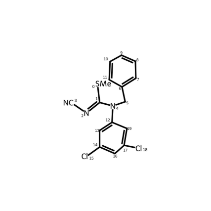 CS/C(=N\C#N)N(Cc1ccccc1)c1cc(Cl)cc(Cl)c1